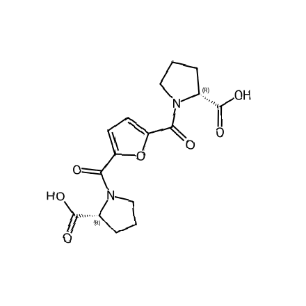 O=C(O)[C@H]1CCCN1C(=O)c1ccc(C(=O)N2CCC[C@@H]2C(=O)O)o1